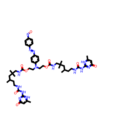 Cc1cc(=O)nc(NC(=O)NCCC(C)CC(C)(C)CNC(=O)OCCN(CCOC(=O)NCC(C)(C)CC(C)CCNC(=O)Nc2nc(=O)cc(C)[nH]2)c2ccc(/N=N/c3ccc(N=O)cc3)cc2)[nH]1